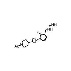 CC(=O)N1CCC(C2CN(c3cccc(CN[C]=N)c3F)C2)CC1